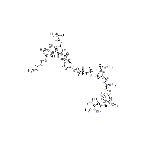 CC(=O)O[C@@H](C)/C=C\C(=O)N[C@@H]1C[C@H](C)[C@H](C/C=C(C)/C=C/[C@@H]2C[C@]3(C[C@@H](CC(=O)NNC(=O)OCc4ccc(NC(=O)[C@H](CCCNC(N)=O)NC(=O)[C@@H](NC(=O)CCCCCN)C(C)C)cc4)O2)O[C@@H]3C)O[C@@H]1C